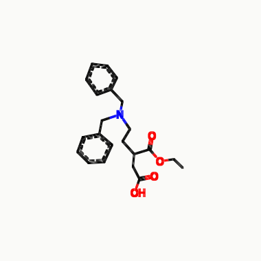 CCOC(=O)C(CCN(Cc1ccccc1)Cc1ccccc1)CC(=O)O